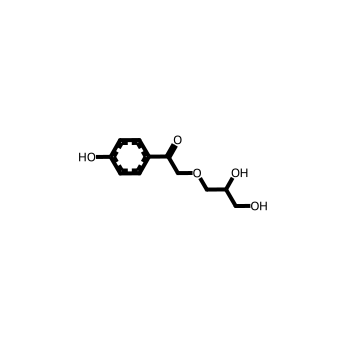 O=C(COCC(O)CO)c1ccc(O)cc1